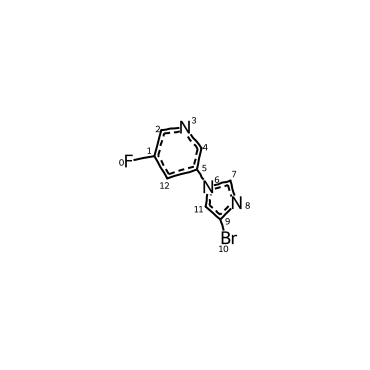 Fc1cncc(-n2cnc(Br)c2)c1